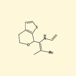 C=CN/C(=C(/C)C(C)CC)C1OCCc2ccsc21